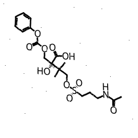 CC(=O)NCCCS(=O)(=O)OCC(C)(C)[C@@](O)(COC(=O)Oc1ccccc1)C(=O)O